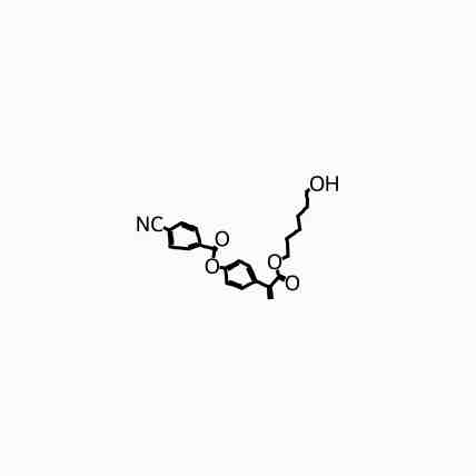 C=C(C(=O)OCCCCCCO)c1ccc(OC(=O)c2ccc(C#N)cc2)cc1